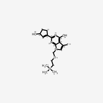 C[Si](C)(C)CCOCn1cc(F)c2c(O)nc(C3=CC(O)CC3)nc21